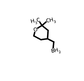 BCC1CCOC(C)(C)C1